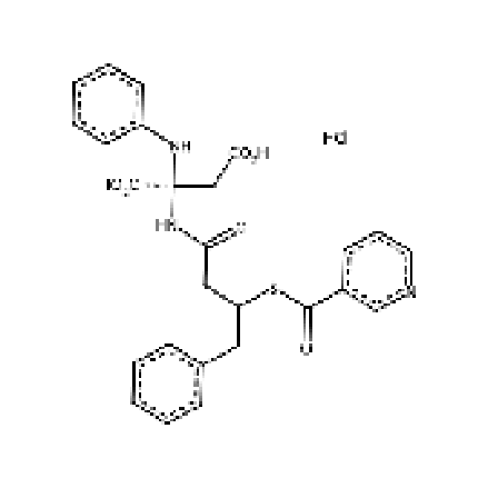 Cl.O=C(O)C[C@@](NC(=O)CC(Cc1ccccc1)SC(=O)c1cccnc1)(Nc1ccccc1)C(=O)O